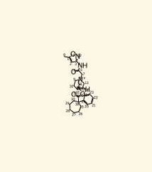 Cc1cc(NC(=O)C[N+]23CCC(CC2)[C@@H](OC(=O)C2(c4ccccc4)CCCCCC2)C3)no1